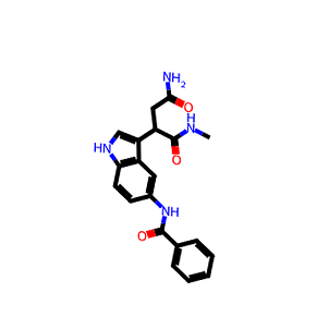 CNC(=O)C(CC(N)=O)c1c[nH]c2ccc(NC(=O)c3ccccc3)cc12